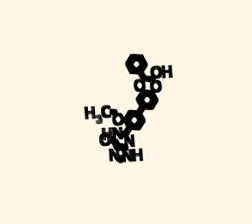 CCOc1cc(-c2cccc(OC(C(=O)O)c3ccccc3)c2)ccc1-c1nc2[nH]cnc2c(=O)[nH]1